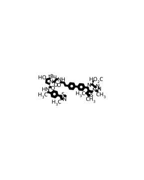 Cc1ncsc1-c1ccc([C@H](C)NC(=O)[C@@H]2C[C@@H](O)CN2C(=O)[C@@H](NC(=O)CCc2ccc(-c3ccc(C4=N[C@@H](CC(=O)O)c5nnc(C)n5-c5sc(C)c(C)c54)cc3)cc2)C(C)(C)C)cc1